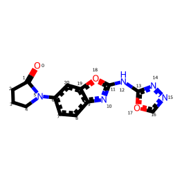 O=C1CCCN1c1ccc2nc(Nc3nnco3)oc2c1